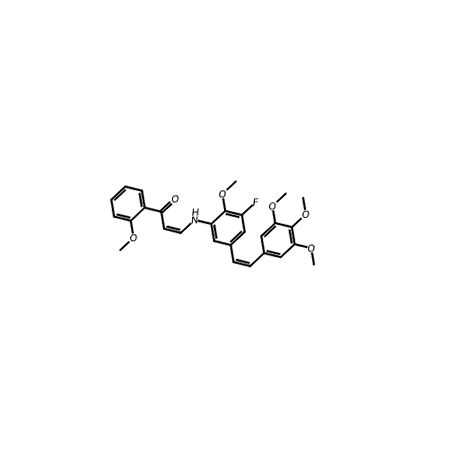 COc1ccccc1C(=O)/C=C\Nc1cc(/C=C\c2cc(OC)c(OC)c(OC)c2)cc(F)c1OC